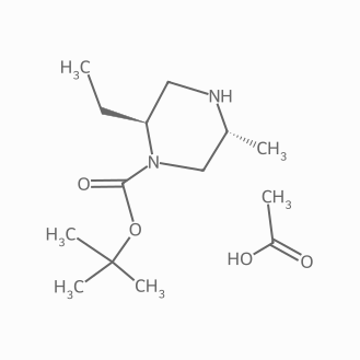 CC(=O)O.CC[C@H]1CN[C@H](C)CN1C(=O)OC(C)(C)C